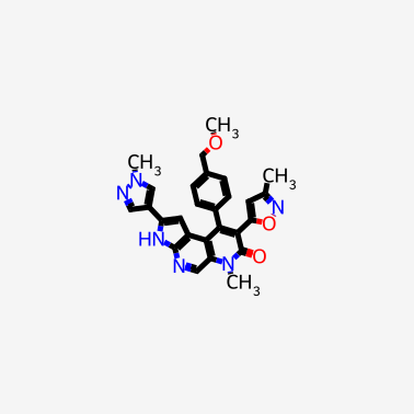 COCc1ccc(-c2c(-c3cc(C)no3)c(=O)n(C)c3cnc4[nH]c(-c5cnn(C)c5)cc4c23)cc1